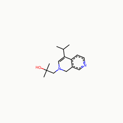 CC(C)C1=CN(CC(C)(C)O)Cc2cnccc21